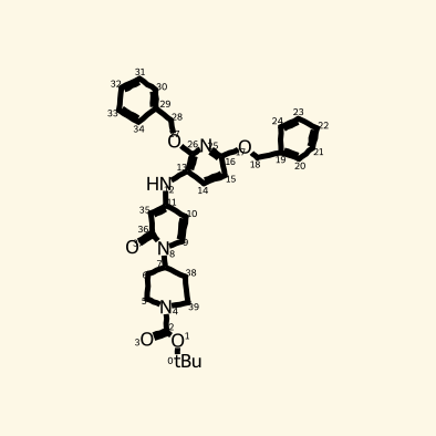 CC(C)(C)OC(=O)N1CCC(n2ccc(Nc3ccc(OCc4ccccc4)nc3OCc3ccccc3)cc2=O)CC1